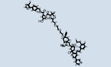 C#CC1(OCCOCCOCCC(=O)N[C@H](C(=O)N2C[C@H](O)C[C@H]2C(=O)NCc2ccc(-c3scnc3C)cc2)C(C)(C)C)CCC(CCC2(N)CCC(Cl)(c3ncc(-c4cccnc4)cc3/C=C/c3ccc(C)c(CCC)c3)C2)(N=[N+]=[N-])CC1